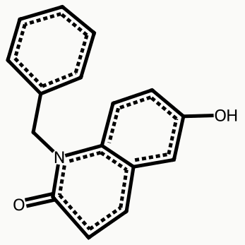 O=c1ccc2cc(O)ccc2n1Cc1ccccc1